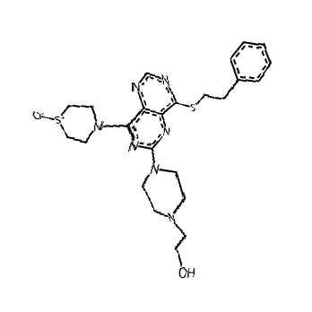 [O-][S+]1CCN(c2nc(N3CCN(CCO)CC3)nc3c(SCCc4ccccc4)ncnc23)CC1